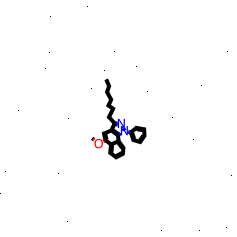 CCCCCCCc1nn(-c2ccccc2)c2c1cc(OC)c1ccccc12